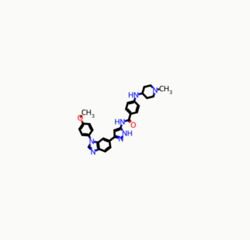 COc1ccc(-n2cnc3ccc(-c4cc(NC(=O)c5ccc(NC6CCN(C)CC6)cc5)[nH]n4)cc32)cc1